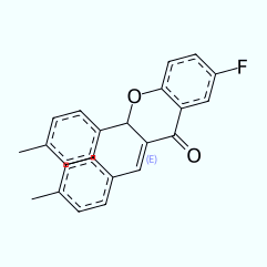 Cc1ccc(/C=C2/C(=O)c3cc(F)ccc3OC2c2ccc(C)cc2)cc1